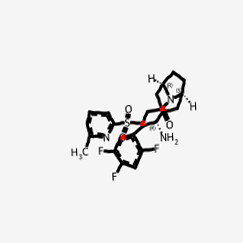 Cc1cccc(S(=O)(=O)CCC(=O)N2[C@@H]3CC[C@H]2CC([C@H](N)Cc2cc(F)c(F)cc2F)C3)n1